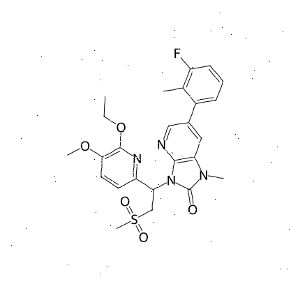 CCOc1nc(C(CS(C)(=O)=O)n2c(=O)n(C)c3cc(-c4cccc(F)c4C)cnc32)ccc1OC